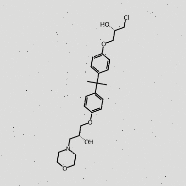 CC(C)(c1ccc(OC[C@H](O)CCl)cc1)c1ccc(OC[C@H](O)CN2CCOCC2)cc1